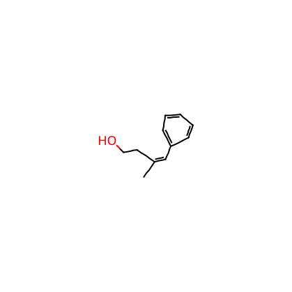 CC(=Cc1ccccc1)CCO